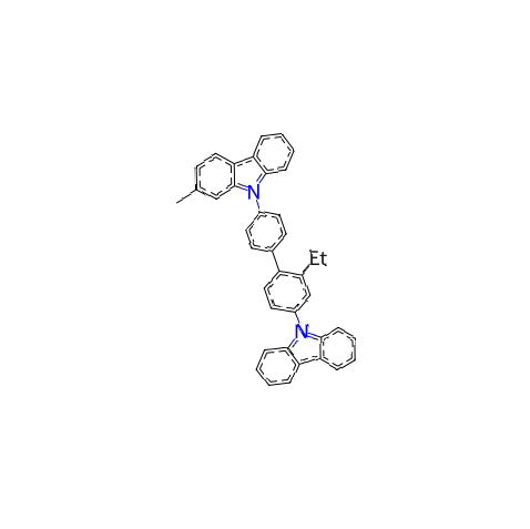 CCc1cc(-n2c3ccccc3c3ccccc32)ccc1-c1ccc(-n2c3ccccc3c3ccc(C)cc32)cc1